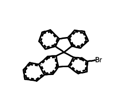 Brc1ccc2c(c1)C1(c3ccccc3-c3ccccc31)c1cc3ccccc3cc1-2